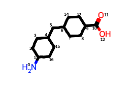 NC1CCC(CC2CCC(C(=O)O)CC2)CC1